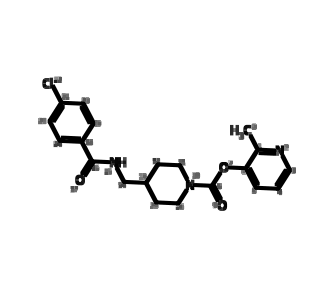 Cc1ncccc1OC(=O)N1CCC(CNC(=O)c2ccc(Cl)cc2)CC1